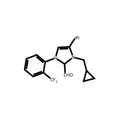 CC(C)C1=CN(c2ccccc2C(F)(F)F)C(C=O)N1CC1CC1